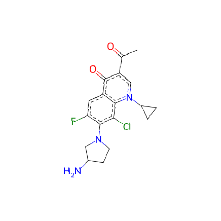 CC(=O)c1cn(C2CC2)c2c(Cl)c(N3CCC(N)C3)c(F)cc2c1=O